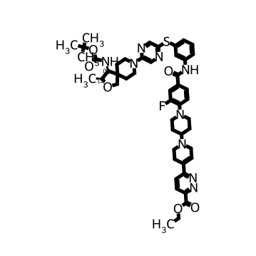 CCOC(=O)c1ccc(C2=CCN(C3CCN(c4ccc(C(=O)Nc5cccc(Sc6cnc(N7CCC8(CC7)CO[C@@H](C)[C@H]8NC(=O)OC(C)(C)C)cn6)c5)cc4F)CC3)CC2)nn1